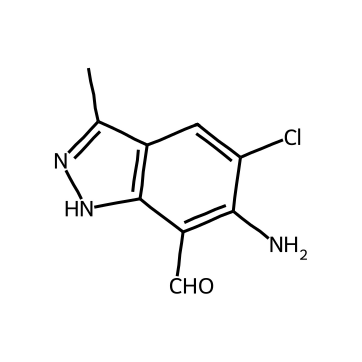 Cc1n[nH]c2c(C=O)c(N)c(Cl)cc12